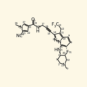 CN1CC[C@@H](Nc2cccc3c(CC(F)(F)F)c(C#CCNC(=O)c4cc(C#N)n(C)c4)nn23)[C@@H](F)C1